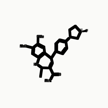 CNC(=O)C1=CC(c2ccc(N3CC[C@H](F)C3)cc2)c2cc(OC)c(OC)cc2NC1C